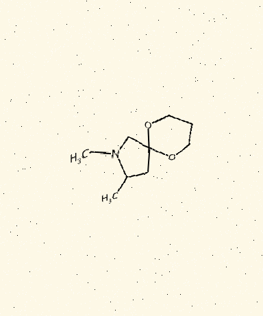 CC1CC2(CN1C)OCCCO2